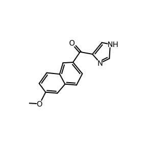 COc1ccc2cc(C(=O)c3c[nH]cn3)ccc2c1